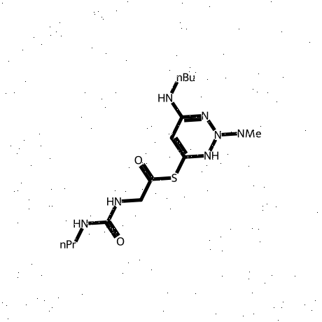 CCCCNC1=NN(NC)NC(SC(=O)CNC(=O)NCCC)=C1